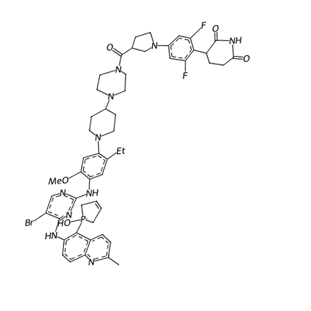 CCc1cc(Nc2ncc(Br)c(Nc3ccc4nc(C)ccc4c3[P]3(O)CC=CC3)n2)c(OC)cc1N1CCC(N2CCN(C(=O)C3CCN(c4cc(F)c(C5CCC(=O)NC5=O)c(F)c4)C3)CC2)CC1